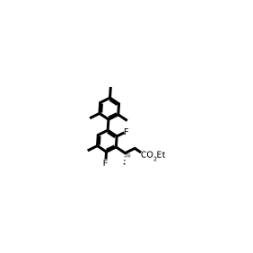 CCOC(=O)C[C@H](C)c1c(F)c(C)cc(-c2c(C)cc(C)cc2C)c1F